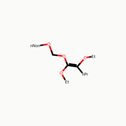 CCCCCCCCCOCOC(OCC)=C(CCC)OCC